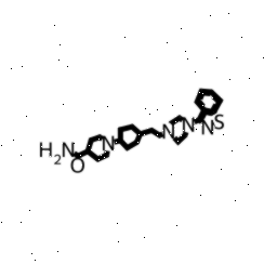 NC(=O)C1CCN(C2CCC(CCN3CCN(c4nsc5ccccc45)CC3)CC2)CC1